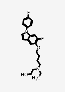 CCN(CCO)CCCCOc1cc2ccn(-c3ccc(F)cc3)c2cc1F